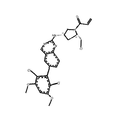 C=CC(=O)N1C[C@@H](Nc2ncc3cc(-c4c(Cl)c(OC)cc(OC)c4Cl)ccc3n2)C[C@H]1CCl